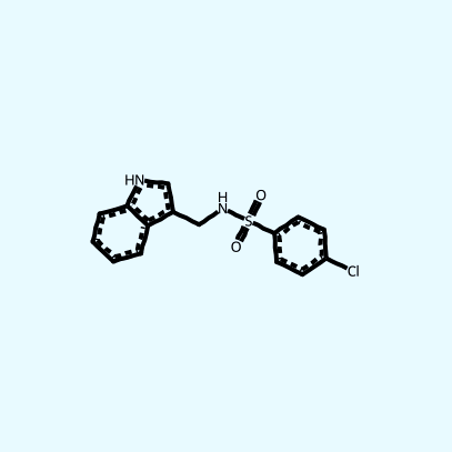 O=S(=O)(NCc1c[nH]c2ccccc12)c1ccc(Cl)cc1